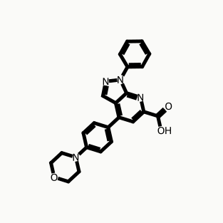 O=C(O)c1cc(-c2ccc(N3CCOCC3)cc2)c2cnn(-c3ccccc3)c2n1